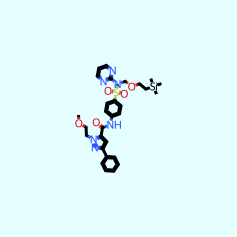 COCCn1nc(-c2ccccc2)cc1C(=O)Nc1ccc(S(=O)(=O)N(COCC[Si](C)(C)C)c2ncccn2)cc1